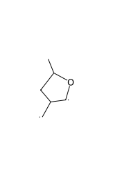 [CH2]C1[CH]OC(C)C1